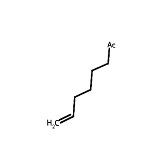 C=CCCCCC(C)=O